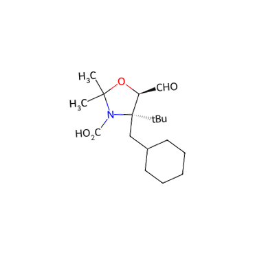 CC1(C)O[C@@H](C=O)[C@](CC2CCCCC2)(C(C)(C)C)N1C(=O)O